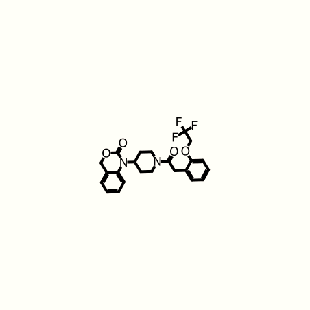 O=C(Cc1ccccc1OCC(F)(F)F)N1CCC(N2C(=O)OCc3ccccc32)CC1